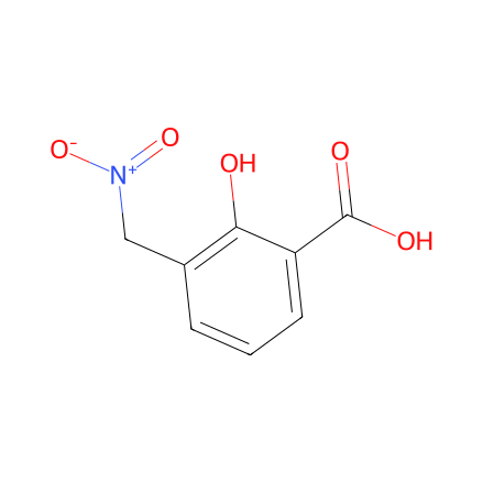 O=C(O)c1cccc(C[N+](=O)[O-])c1O